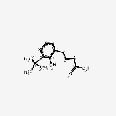 CC(C)(C)c1cccc(CCCC(=O)O)c1O